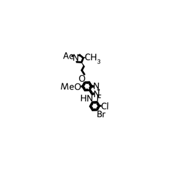 COc1cc2c(Nc3ccc(Br)c(Cl)c3F)ncnc2cc1OCCC[C@H]1CN(C(C)=O)C[C@H]1C